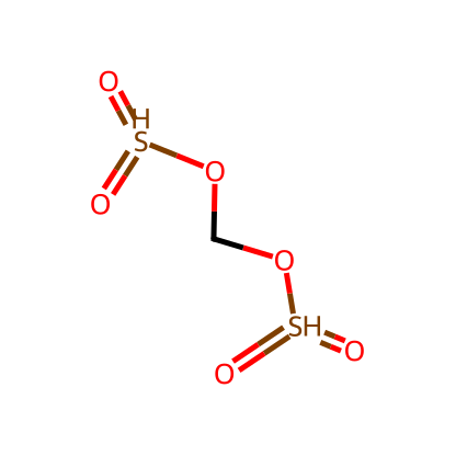 O=[SH](=O)OCO[SH](=O)=O